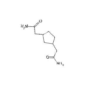 NC(=O)CC1CCC(CC(N)=O)C1